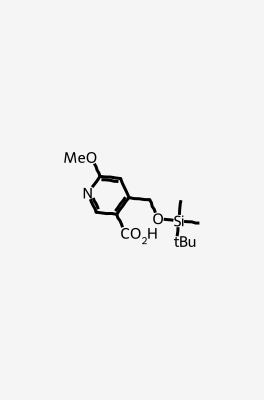 COc1cc(CO[Si](C)(C)C(C)(C)C)c(C(=O)O)cn1